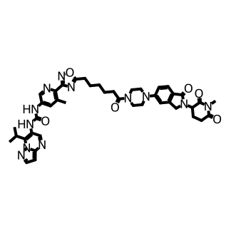 Cc1cc(NC(=O)Nc2cnc3ccnn3c2C(C)C)cnc1-c1noc(CCCCCC(=O)N2CCN(c3ccc4c(c3)CN(C3CCC(=O)N(C)C3=O)C4=O)CC2)n1